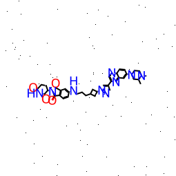 CC1CN(c2ccc3ncc(-c4cnn(C5CC(CCCNc6ccc7c(c6)C(=O)N(C6CCC(=O)NC6=O)C7=O)C5)c4)nc3c2)CCN1C